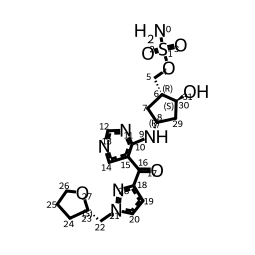 NS(=O)(=O)OC[C@H]1C[C@@H](Nc2ncncc2C(=O)c2ccn(C[C@@H]3CCCO3)n2)C[C@@H]1O